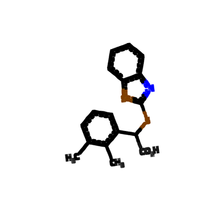 Cc1cccc(C(Sc2nc3ccccc3s2)C(=O)O)c1C